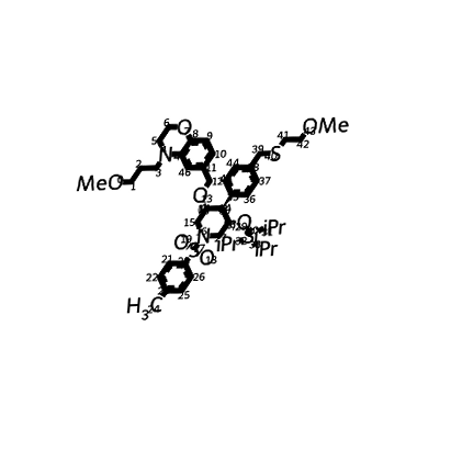 COCCCN1CCOc2ccc(CO[C@H]3CN(S(=O)(=O)c4ccc(C)cc4)C[C@@H](O[Si](C(C)C)(C(C)C)C(C)C)[C@@H]3c3ccc(CSCCOC)cc3)cc21